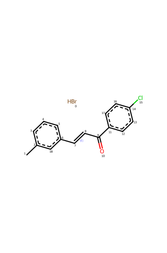 Br.Cc1cccc(/C=C/C(=O)c2ccc(Cl)cc2)c1